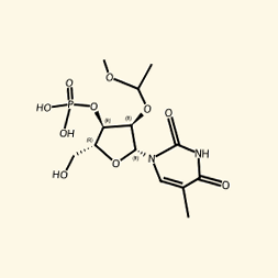 COC(C)O[C@@H]1[C@H](OP(=O)(O)O)[C@@H](CO)O[C@H]1n1cc(C)c(=O)[nH]c1=O